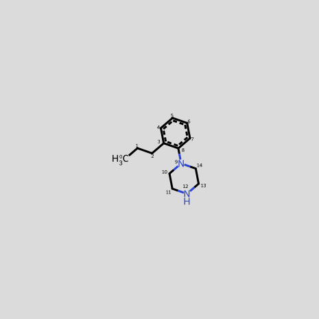 CCCc1ccccc1N1CCNCC1